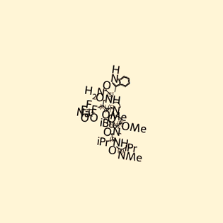 CC[C@H](C)[C@@H]([C@@H](CC(=O)N1CCC[C@H]1[C@H](OC)[C@@H](C)C(=O)N[C@@H](Cc1c[nH]c2ccccc12)C(N)=O)OC)N(C)C(=O)[C@@H](NC(=O)[C@@H](NC)C(C)C)C(C)C.O=C([O-])C(F)(F)F.[Na+]